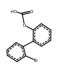 O=C(O)Oc1ccccc1-c1ccccc1Br